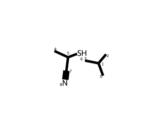 CC(C)C.CC(S)C#N